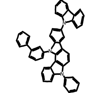 c1ccc(-c2cccc(-n3c4ccc(-n5c6ccccc6c6ccccc65)cc4c4ccc5c(c6ccccc6n5-c5ccccc5)c43)c2)cc1